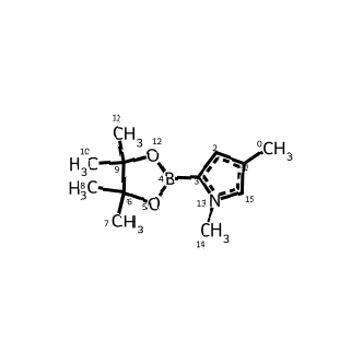 Cc1cc(B2OC(C)(C)C(C)(C)O2)n(C)c1